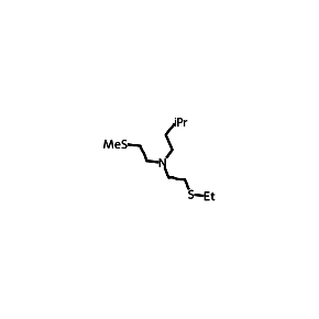 CCSCCN(CCSC)CCC(C)C